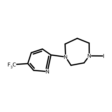 FC(F)(F)c1ccc(N2CCCN(I)CC2)nc1